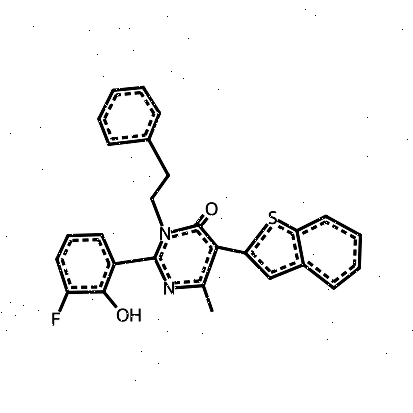 Cc1nc(-c2cccc(F)c2O)n(CCc2ccccc2)c(=O)c1-c1cc2ccccc2s1